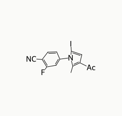 CC(=O)c1cc(I)n(-c2ccc(C#N)c(F)c2)c1C